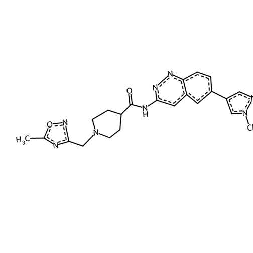 Cc1nc(CN2CCC(C(=O)Nc3cc4cc(-c5cnn(C)c5)ccc4nn3)CC2)no1